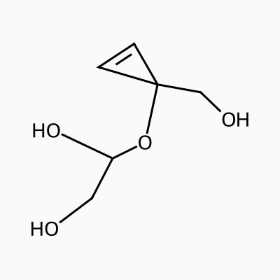 OCC(O)OC1(CO)C=C1